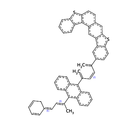 C=C(/C=C\C(=C)c1c2ccccc2c(/C(C)=C/C=C2/C=CC=CC2)c2ccccc12)c1ccc2sc3cc4ccc5sc6ccccc6c5c4cc3c2c1